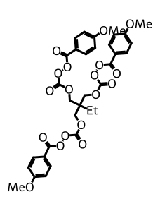 CCC(COC(=O)OOC(=O)c1ccc(OC)cc1)(COC(=O)OOC(=O)c1ccc(OC)cc1)COC(=O)OOC(=O)c1ccc(OC)cc1